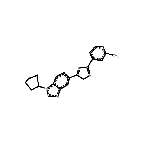 Cc1cc(C2=NCC(c3ccc4c(c3)nnn4C3CCCC3)=N2)ccn1